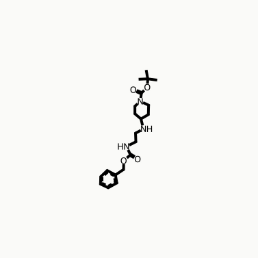 CC(C)(C)OC(=O)N1CCC(NCCNC(=O)OCc2ccccc2)CC1